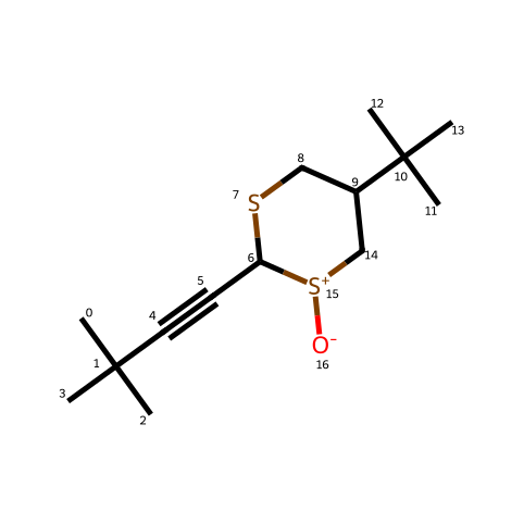 CC(C)(C)C#CC1SCC(C(C)(C)C)C[S+]1[O-]